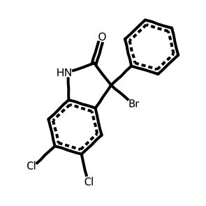 O=C1Nc2cc(Cl)c(Cl)cc2C1(Br)c1ccccc1